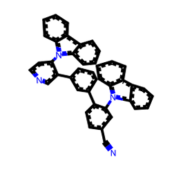 N#Cc1ccc(-c2cccc(-c3cnccc3-n3c4ccccc4c4ccccc43)c2)c(-n2c3ccccc3c3ccccc32)c1